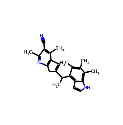 Cc1nc2c(c(C)c1C#N)C=C(C(C)c1c(C)c(C)c(C)c3[nH]ccc13)C2